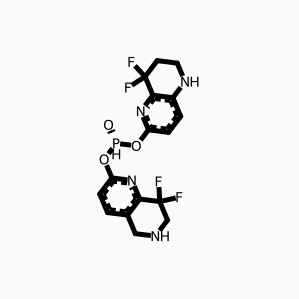 O=[PH](Oc1ccc2c(n1)C(F)(F)CNC2)Oc1ccc2c(n1)C(F)(F)CCN2